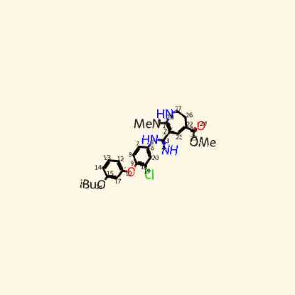 CNC1=C(C(=N)Nc2ccc(Oc3cccc(OCC(C)C)c3)c(Cl)c2)C=C(C(=O)OC)CCN1